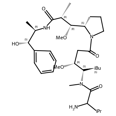 CC[C@H](C)[C@@H]([C@@H](CC(=O)N1CCC[C@H]1[C@H](OC)[C@@H](C)C(=O)N[C@H](C)[C@@H](O)c1ccccc1)OC)N(C)C(=O)C(N)C(C)C